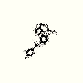 NC1=N[C@@]2(c3cc(NC(=O)c4ccc(F)cn4)ccc3F)COC[C@@]2(F)CO1